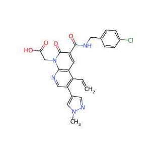 C=Cc1c(-c2cnn(C)c2)cnc2c1cc(C(=O)NCc1ccc(Cl)cc1)c(=O)n2CC(=O)O